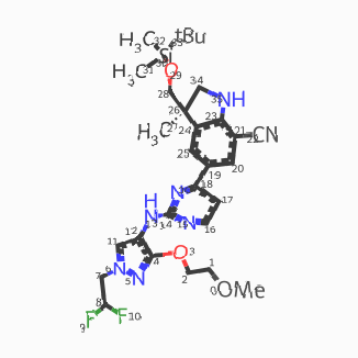 COCCOc1nn(CC(F)F)cc1Nc1nccc(-c2cc(C#N)c3c(c2)[C@@](C)(CO[Si](C)(C)C(C)(C)C)CN3)n1